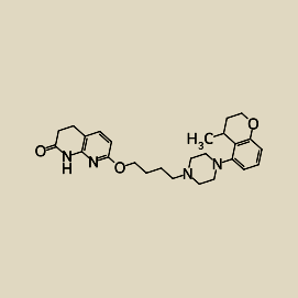 CC1CCOc2cccc(N3CCN(CCCCOc4ccc5c(n4)NC(=O)CC5)CC3)c21